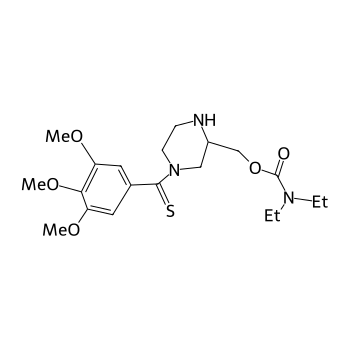 CCN(CC)C(=O)OCC1CN(C(=S)c2cc(OC)c(OC)c(OC)c2)CCN1